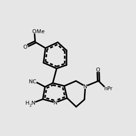 CCCC(=O)N1CCc2nc(N)c(C#N)c(-c3cccc(C(=O)OC)c3)c2C1